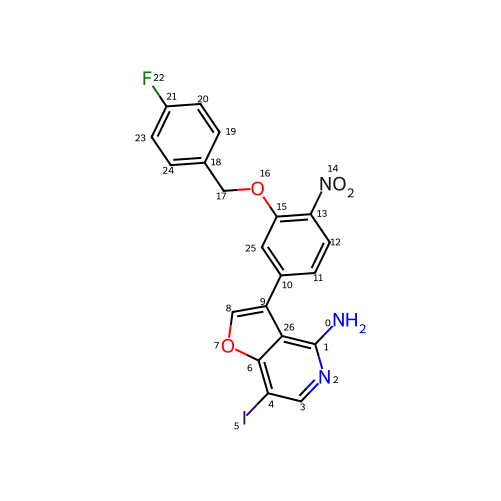 Nc1ncc(I)c2occ(-c3ccc([N+](=O)[O-])c(OCc4ccc(F)cc4)c3)c12